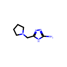 Nc1nnc(CN2CCCC2)[nH]1